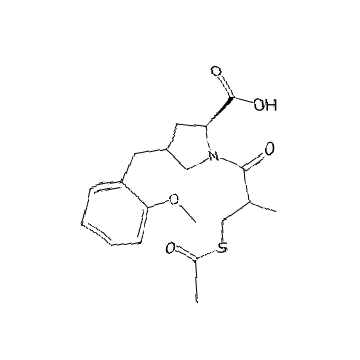 COc1ccccc1CC1C[C@@H](C(=O)O)N(C(=O)C(C)CSC(C)=O)C1